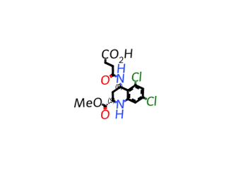 COC(=O)[C@@H]1C[C@@H](NC(=O)CCC(=O)O)c2c(Cl)cc(Cl)cc2N1